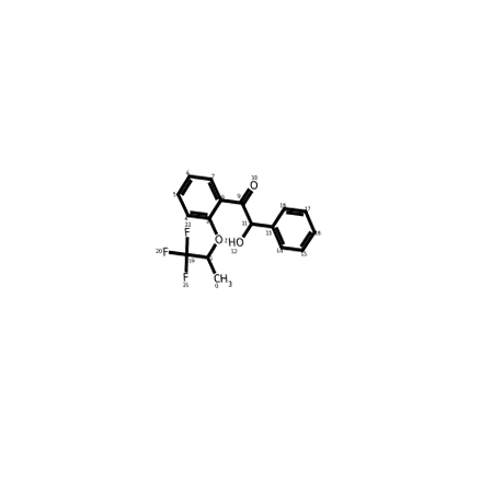 CC(Oc1ccccc1C(=O)C(O)c1ccccc1)C(F)(F)F